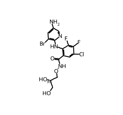 Nc1cnc(Nc2c(C(=O)NOC[C@H](O)CO)cc(Cl)c(F)c2F)c(Br)c1